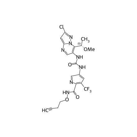 C#CCCONC(=O)c1ncc(NC(=O)Nc2cnc3cc(Cl)nn3c2[C@H](C)OC)cc1C(F)(F)F